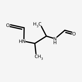 CC(NC=O)C(C)NC=O